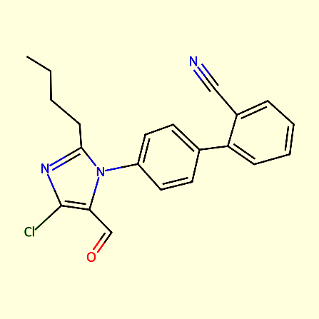 CCCCc1nc(Cl)c(C=O)n1-c1ccc(-c2ccccc2C#N)cc1